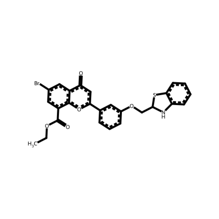 CCOC(=O)c1cc(Br)cc2c(=O)cc(-c3cccc(OCC4Nc5ccccc5S4)c3)oc12